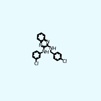 Clc1ccc(CNc2nc3ccccc3nc2Nc2cccc(Cl)c2)cc1